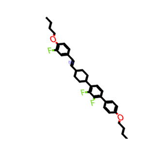 CCCCOc1ccc(-c2ccc(C3CCC(/C=C/c4ccc(OCCCC)c(F)c4)CC3)c(F)c2F)cc1